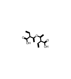 C=CC(C(=C)OC(=C)C(C=C)C(=O)O)C(=O)O